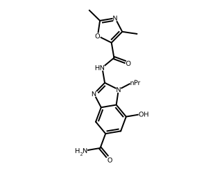 CCCn1c(NC(=O)c2oc(C)nc2C)nc2cc(C(N)=O)cc(O)c21